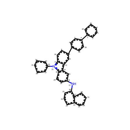 c1ccc(-c2ccc(-c3ccc4c(c3)c3cc(Nc5cccc6ccccc56)ccc3n4-c3ccccc3)cc2)cc1